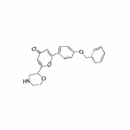 O=c1cc(-c2ccc(OCc3ccccc3)cc2)oc(C2CNCCO2)c1